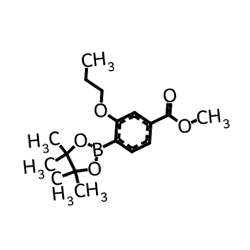 CCCOc1cc(C(=O)OC)ccc1B1OC(C)(C)C(C)(C)O1